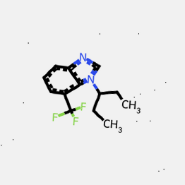 CCC(CC)n1cnc2cccc(C(F)(F)F)c21